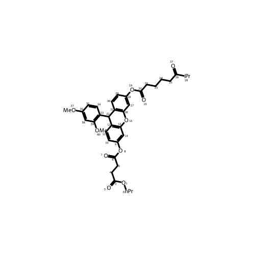 CCCOC(=O)CCC(=O)Oc1ccc2c(c1)Oc1cc(OC(=O)CCCCC(=O)C(C)C)ccc1C2c1ccc(OC)cc1OC